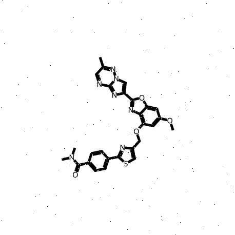 COc1cc(OCc2csc(-c3ccc(C(=O)N(C)C)cc3)n2)c2nc(-c3cn4nc(C)cnc4n3)oc2c1